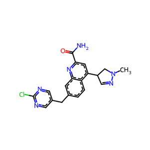 CN1CC(c2cc(C(N)=O)nc3cc(Cc4cnc(Cl)nc4)ccc23)C=N1